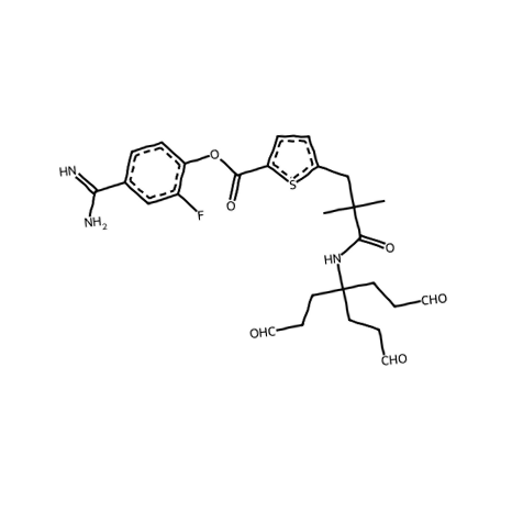 CC(C)(Cc1ccc(C(=O)Oc2ccc(C(=N)N)cc2F)s1)C(=O)NC(CCC=O)(CCC=O)CCC=O